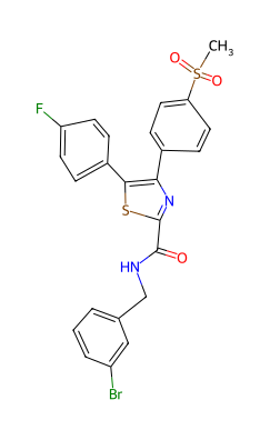 CS(=O)(=O)c1ccc(-c2nc(C(=O)NCc3cccc(Br)c3)sc2-c2ccc(F)cc2)cc1